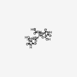 O=C(NCNC(=O)NC1C(=O)NC(=O)N1CO)NC1C(=O)NC(=O)N1CO.O=S(O)O